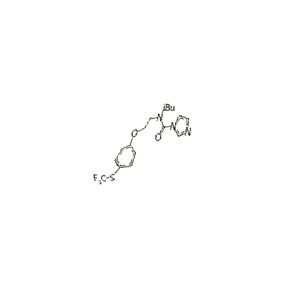 CCC(C)N(CCOc1ccc(SC(F)(F)F)cc1)C(=O)n1ccnc1